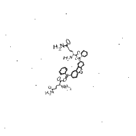 NC(=O)CCC(N)C(=O)OB(c1ccccc1)c1ccc2sc3ccc(B(OC(=O)C(N)CCC(N)=O)c4ccccc4)cc3c2c1